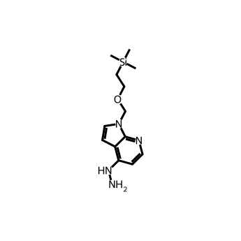 C[Si](C)(C)CCOCn1ccc2c(NN)ccnc21